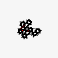 c1ccc(-c2ccccc2N(c2ccc(-c3cccc4ccccc34)cc2)c2ccccc2-c2cccc3cccc(-c4ccccc4)c23)cc1